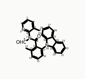 Cc1cccnc1N(C=O)C(=O)c1c(C)cccc1-n1c2ccccc2c2ccccc21